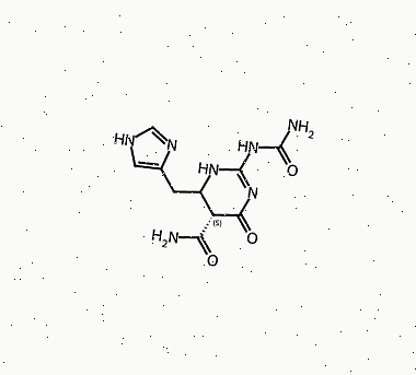 NC(=O)NC1=NC(=O)[C@H](C(N)=O)C(Cc2c[nH]cn2)N1